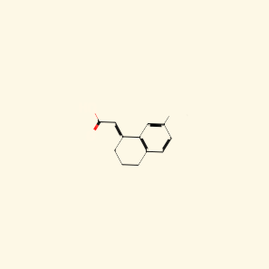 Cc1ccc2c(c1)/C(=C/C(=O)O)CCC2